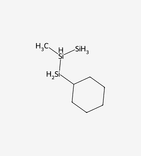 C[SiH]([SiH3])[SiH2]C1CCCCC1